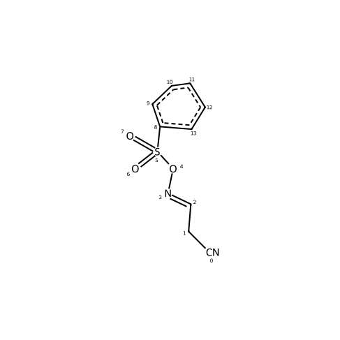 N#CCC=NOS(=O)(=O)c1ccccc1